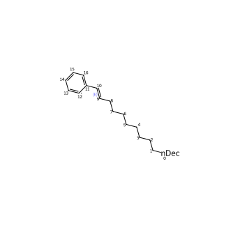 CCCCCCCCCCCCCCCCCC/C=C/c1[c]cccc1